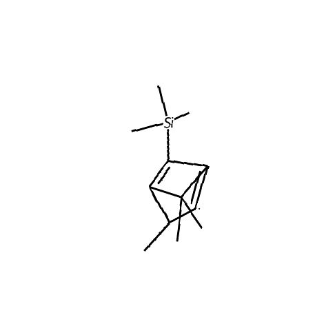 CC1[C]=C2C([Si](C)(C)C)=C1C2(C)C